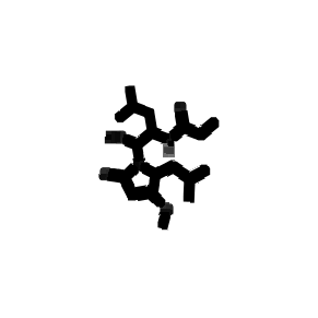 CCC(=O)NC(CC(C)C)C(O)N1C(=O)C=C(OC)C1CC(C)C